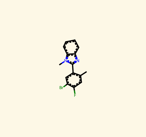 Cc1cc(F)c(Br)cc1-c1nc2ccccc2n1C